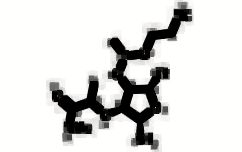 B[C@@H]1O[C@H](CC)C(OP(C)OCC[N+]#[C-])[C@@H]1OC(C)C(=O)NC